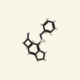 CC1Cc2cc3c(c(OCc4ccccc4)c21)CCC3